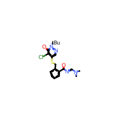 CN(C)C=NC(=O)c1ccccc1CSc1cnn(C(C)(C)C)c(=O)c1Cl